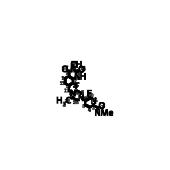 CNC(=O)c1ccc(N2CCN(Cc3ccc4c(=O)n(C)c(=O)[nH]c4c3F)C(C)C2)c(F)n1